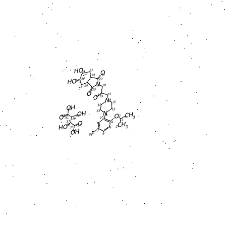 CC(C)Oc1ccc(F)cc1N1CCN(CC(=O)CN2C(=O)C3CC(O)C(O)CC3C2=O)CC1.O=C(O)C(O)C(O)C(=O)O